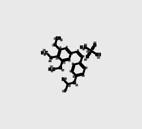 COc1cc(/C=C\c2ccc(OC(F)F)cc2)cc(OC)c1OC.NS(=O)(=O)O